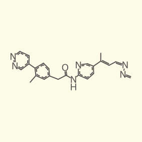 C=N/N=C\C=C(/C)c1ccc(NC(=O)Cc2ccc(-c3ccnnc3)c(C)c2)nc1